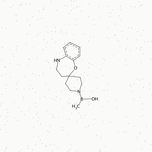 CB(O)N1CCC2(CCNc3ccccc3O2)CC1